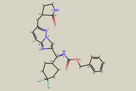 O=C(N[C@H](c1cn2nc(CC3CCNC3=O)ccc2n1)C1CCC(F)(F)CC1)OCc1ccccc1